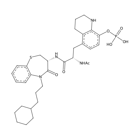 CC(=O)N[C@@H](Cc1ccc(OP(=O)(O)O)c2c1CCCN2)C(=O)N[C@H]1CSc2ccccc2N(CCCC2CCCCC2)C1=O